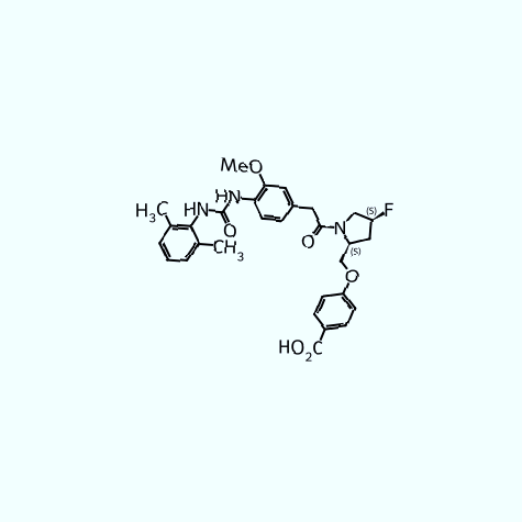 COc1cc(CC(=O)N2C[C@@H](F)C[C@H]2COc2ccc(C(=O)O)cc2)ccc1NC(=O)Nc1c(C)cccc1C